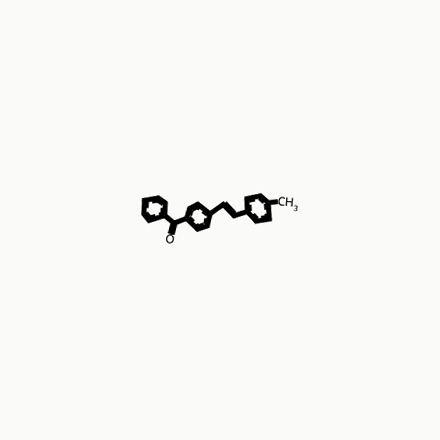 Cc1ccc(C=Cc2ccc(C(=O)c3ccccc3)cc2)cc1